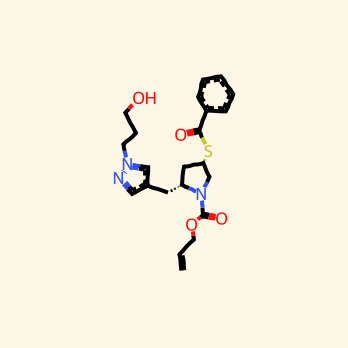 C=CCOC(=O)N1C[C@@H](SC(=O)c2ccccc2)C[C@H]1Cc1cnn(CCCO)c1